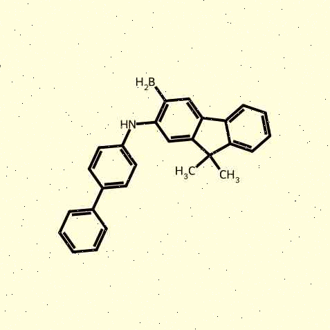 Bc1cc2c(cc1Nc1ccc(-c3ccccc3)cc1)C(C)(C)c1ccccc1-2